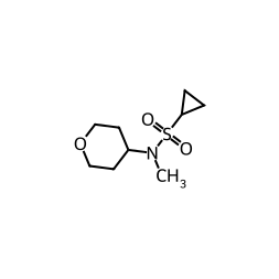 CN(C1CCOCC1)S(=O)(=O)C1CC1